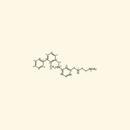 CC(=O)NCCNCc1ncnc(NCc2cccc(-c3ccccc3)c2C)n1